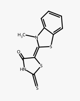 CN1C(=C2SC(=S)NC2=O)Sc2ccccc21